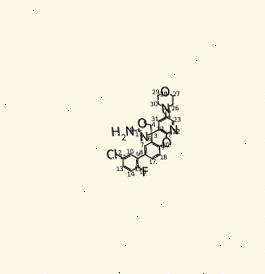 NC1=N[C@@]2(CO1)c1cc(-c3cc(Cl)ccc3F)ccc1Oc1ncc(N3CCOCC3)cc12